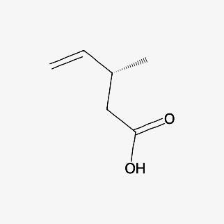 C=C[C@H](C)CC(=O)O